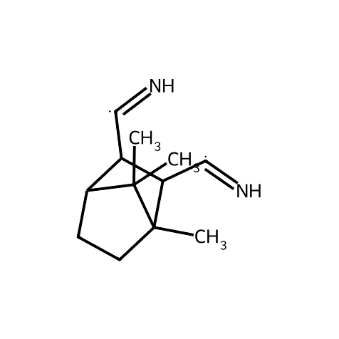 CC1(C)C2CCC1(C)C([C]=N)C2[C]=N